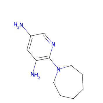 Nc1cnc(N2CCCCCC2)c(N)c1